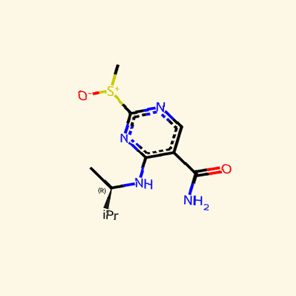 CC(C)[C@@H](C)Nc1nc([S+](C)[O-])ncc1C(N)=O